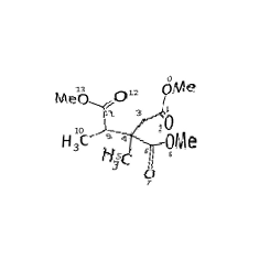 COC(=O)CC(C)(C(=O)OC)C(C)C(=O)OC